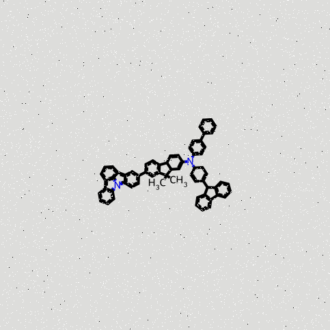 CC1(C)c2cc(-c3ccc4c(c3)c3cccc5c6ccccc6n4c53)ccc2C2C=CC(N(c3ccc(-c4ccccc4)cc3)C3C=CC(C4c5ccccc5-c5ccccc54)=CC3)=CC21